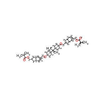 C=C(C)C(=O)OCC1CC2C3CC(COC4CCC(C(C)(C)C5CCC(OCC6CC7C8CC(COC(=O)C(=C)C)C(C8)C7C6)CC5)CC4)C(C3)C2C1